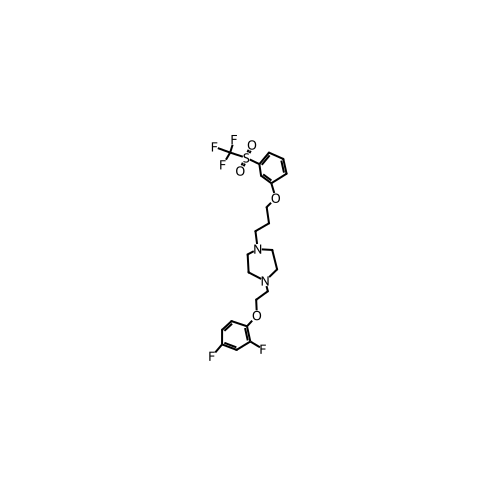 O=S(=O)(c1cccc(OCCCN2CCN(CCOc3ccc(F)cc3F)CC2)c1)C(F)(F)F